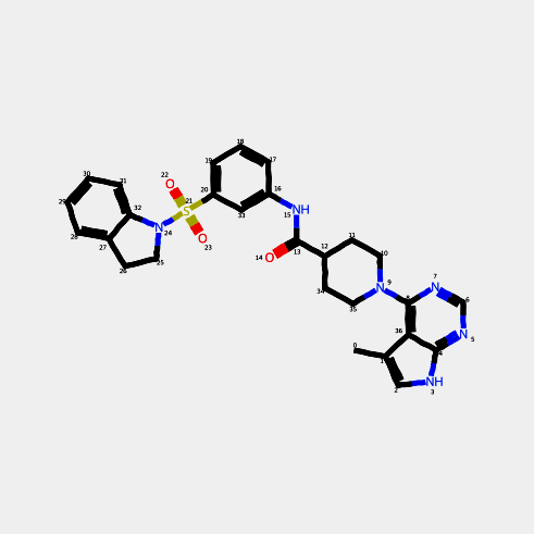 Cc1c[nH]c2ncnc(N3CCC(C(=O)Nc4cccc(S(=O)(=O)N5CCc6ccccc65)c4)CC3)c12